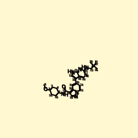 COC1CCC(NC(=O)c2cnn3ccc(-c4c[nH]c5nc(NCC(C)(C)F)ncc45)cc23)CC1